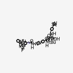 Cc1ncsc1-c1ccc(CNC(=O)[C@@H]2C[C@@H](O)CN2C(=O)C(NC(=O)c2ccc(N3CCN(CCNC(=O)/C=C/c4cc(F)c([C@@H]5c6[nH]c7ccccc7c6C[C@@H](C)N5CC(C)(C)F)c(F)c4)CC3)cc2)C(C)(C)C)cc1